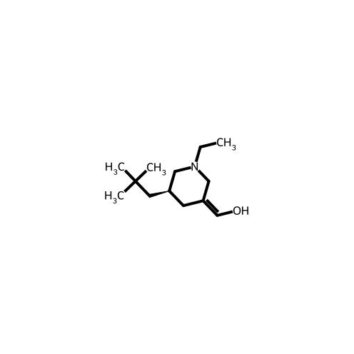 CCN1C/C(=C\O)C[C@@H](CC(C)(C)C)C1